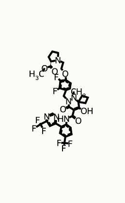 COC(=O)[C@@H]1CCCN1CCOc1ccc(CN2C(=O)C(C(=O)Nc3ccc(C(F)(F)F)cc3-c3cc(C(F)(F)F)ncn3)=C(O)C3(CCC3)N2C)c(F)c1F